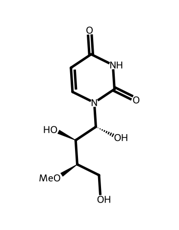 CO[C@H](CO)[C@@H](O)[C@@H](O)n1ccc(=O)[nH]c1=O